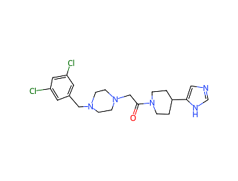 O=C(CN1CCN(Cc2cc(Cl)cc(Cl)c2)CC1)N1CCC(c2cnc[nH]2)CC1